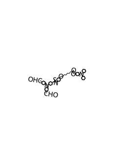 O=Cc1ccc(N(c2ccc(C=O)cc2)c2ccc(-c3nc4ccc(OCCCCCCC(=O)Oc5ccc(N(c6ccccc6)c6ccccc6)cc5)cc4s3)cc2)cc1